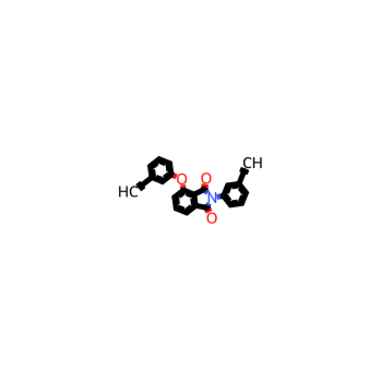 C#Cc1cccc(Oc2cccc3c2C(=O)N(c2cccc(C#C)c2)C3=O)c1